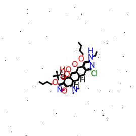 CCCCOc1noc2c1C(=O)[C@@]1(O[Si](C)(C)C(C)(C)C)C(O)=C3C(=O)c4c(c(Cl)nc(NCC)c4OCCCC)C[C@H]3C[C@H]1[C@@H]2N(C)C